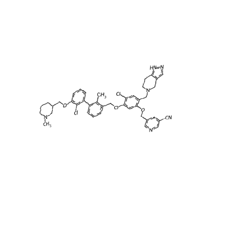 Cc1c(COc2cc(OCc3cncc(C#N)c3)c(CN3CCc4[nH]ncc4C3)cc2Cl)cccc1-c1cccc(OCC2CCCN(C)C2)c1Cl